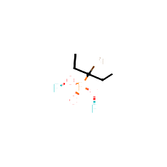 CCC(Br)(CC)P(=O)(OF)OF